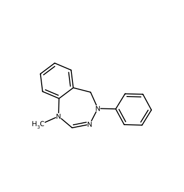 CN1C=NN(c2ccccc2)Cc2ccccc21